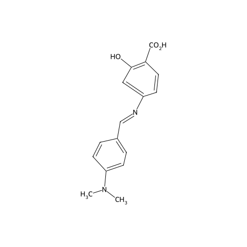 CN(C)c1ccc(C=Nc2ccc(C(=O)O)c(O)c2)cc1